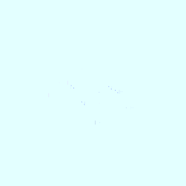 CCCC(C)Nn1c(=O)c(C2=NS(O)(O)c3ccccc3N2)c(O)c2sccc21